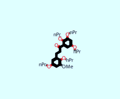 CCCOc1cc(CCC(=O)c2cc(OCCC)cc(OCCC)c2OCCC)c(OCCC)c(OC)c1